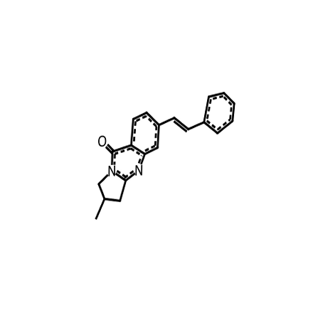 CC1Cc2nc3cc(C=Cc4ccccc4)ccc3c(=O)n2C1